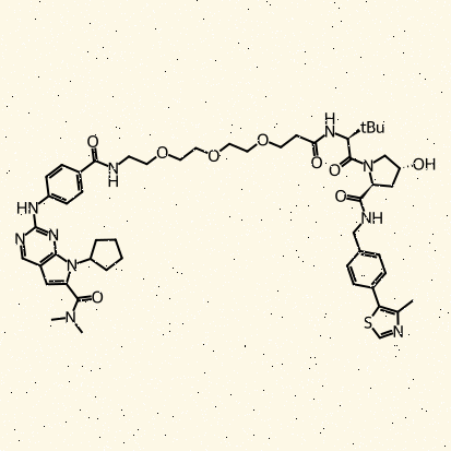 Cc1ncsc1-c1ccc(CNC(=O)[C@@H]2C[C@@H](O)CN2C(=O)[C@@H](NC(=O)CCOCCOCCOCCNC(=O)c2ccc(Nc3ncc4cc(C(=O)N(C)C)n(C5CCCC5)c4n3)cc2)C(C)(C)C)cc1